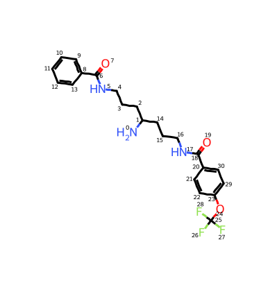 NC(CCCNC(=O)c1ccccc1)CCCNC(=O)c1ccc(OC(F)(F)F)cc1